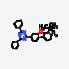 C[Si](C)(C)c1cccc2c1oc1cc(-c3nc(-c4ccccc4)nc(-c4ccccc4)n3)ccc12